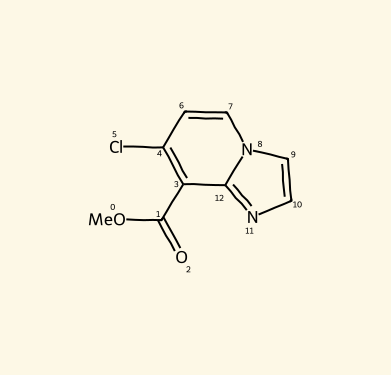 COC(=O)c1c(Cl)ccn2ccnc12